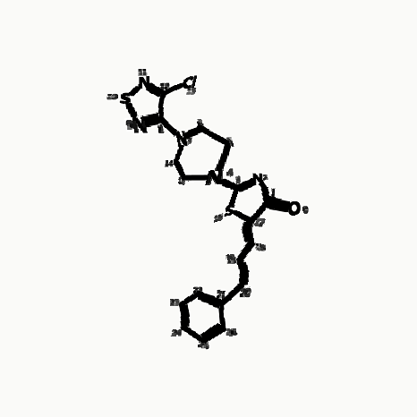 O=C1N=C(N2CCN(c3nsnc3Cl)CC2)SC1=CC=Cc1ccccc1